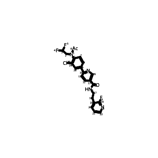 CC(=O)N(CC(F)F)c1ccc(-c2ccc(C(=O)NCCc3cccnc3F)cn2)cc1Cl